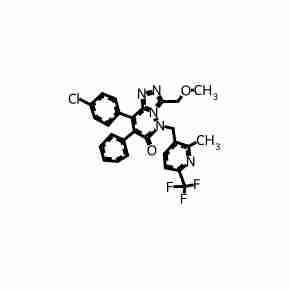 COCc1nnc2c(-c3ccc(Cl)cc3)c(-c3ccccc3)c(=O)n(Cc3ccc(C(F)(F)F)nc3C)n12